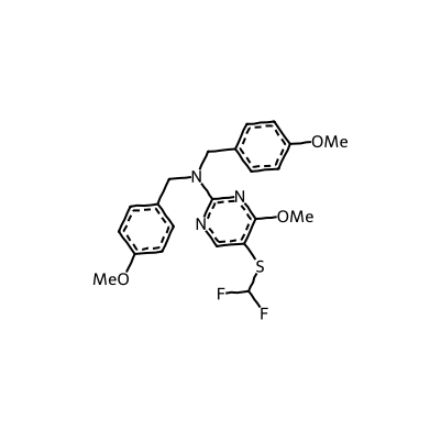 COc1ccc(CN(Cc2ccc(OC)cc2)c2ncc(SC(F)F)c(OC)n2)cc1